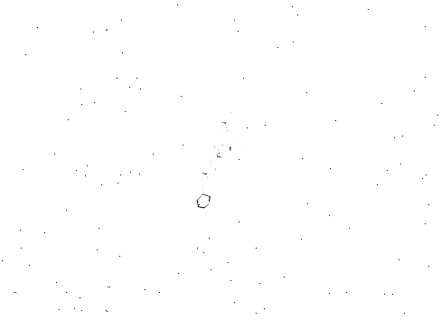 COC(=O)CC[C@H](NC(=O)CNC(=O)OCc1ccccc1)C(=O)OC